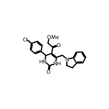 COCC(=O)C1=C(CN2CCc3ccccc32)NC(=O)NC1c1ccc(Cl)cc1